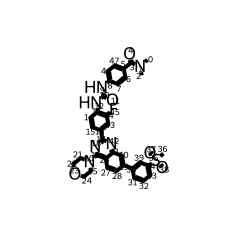 CN(C)C(=O)c1ccc(NC(=O)Nc2ccc(-c3nc(N4CCOCC4)c4ccc(-c5cccc(S(C)(=O)=O)c5)cc4n3)cc2F)cc1